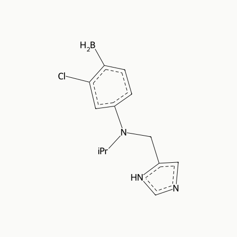 Bc1ccc(N(Cc2cnc[nH]2)C(C)C)cc1Cl